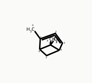 CC1=C=CC2CC1C2(C)C